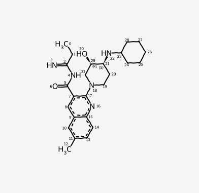 CCC(=N)NC(=O)c1cc2cc(C)ccc2nc1N1CC[C@H](NC2CCCCC2)[C@H](O)C1